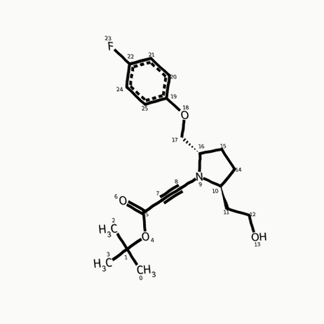 CC(C)(C)OC(=O)C#CN1[C@H](CCO)CC[C@H]1COc1ccc(F)cc1